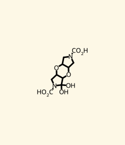 O=C(O)N1CC2OC3CN(C(=O)O)C(O)(O)C3OC2C1